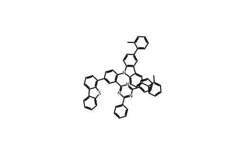 Cc1ccccc1-c1ccc2c(c1)c1cc(-c3ccccc3C)ccc1n2-c1ccc(-c2cccc3c2sc2ccccc23)cc1-c1nc(-c2ccccc2)nc(-c2ccccc2)n1